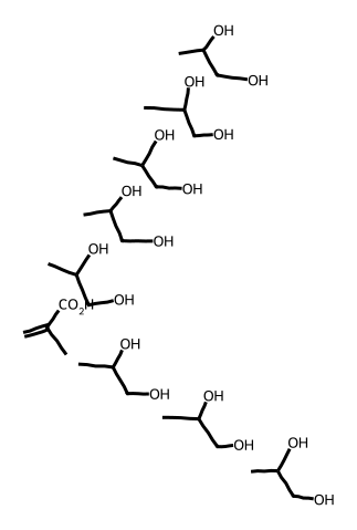 C=C(C)C(=O)O.CC(O)CO.CC(O)CO.CC(O)CO.CC(O)CO.CC(O)CO.CC(O)CO.CC(O)CO.CC(O)CO